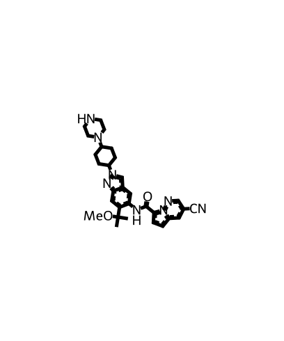 COC(C)(C)c1cc2nn(C3CCC(N4CCNCC4)CC3)cc2cc1NC(=O)c1ccc2cc(C#N)cnn12